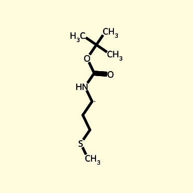 CSCC[CH]NC(=O)OC(C)(C)C